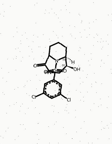 O=C1NC[C@H](O)[C@@H]2CCCC1N2S(=O)(=O)c1cc(Cl)cc(Cl)c1